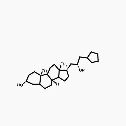 C[C@]12CC[C@H](O)CC1CC[C@@H]1C2CC[C@@]2(C)C1CC[C@@H]2C[C@@H](O)CC1CCCC1